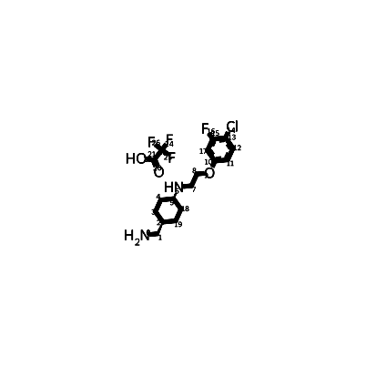 NC[C@H]1CC[C@H](NCCOc2ccc(Cl)c(F)c2)CC1.O=C(O)C(F)(F)F